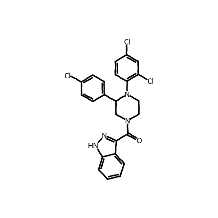 O=C(c1n[nH]c2ccccc12)N1CCN(c2ccc(Cl)cc2Cl)C(c2ccc(Cl)cc2)C1